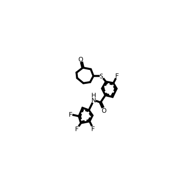 O=C1CCCCC(Sc2cc(C(=O)Nc3cc(F)c(F)c(F)c3)ccc2F)C1